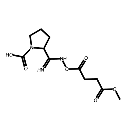 COC(=O)CCC(=O)ONC(=N)C1CCCN1C(=O)O